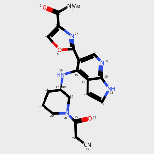 CNC(=O)c1coc(-c2cnc3[nH]ccc3c2N[C@@H]2CCCN(C(=O)CC#N)C2)n1